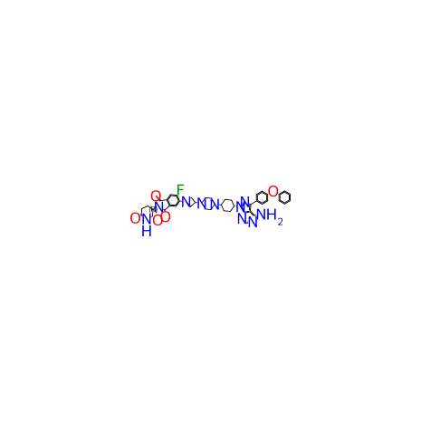 Nc1ncnc2c1c(-c1ccc(Oc3ccccc3)cc1)nn2[C@H]1CC[C@H](N2CCN(C3CN(c4cc5c(cc4F)C(=O)N([C@@H]4CCC(=O)NC4=O)C5=O)C3)CC2)CC1